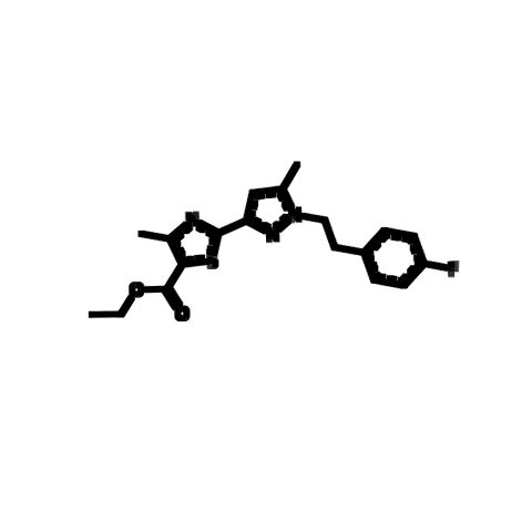 CCOC(=O)c1sc(-c2cc(C)n(CCc3ccc(F)cc3)n2)nc1C